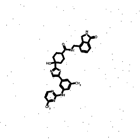 Cc1cc(Nc2nccc(C(F)(F)F)n2)cc(-c2cnc(C3(O)CCC(C(=O)NCc4cccc5c4CNC5=O)CC3)s2)c1